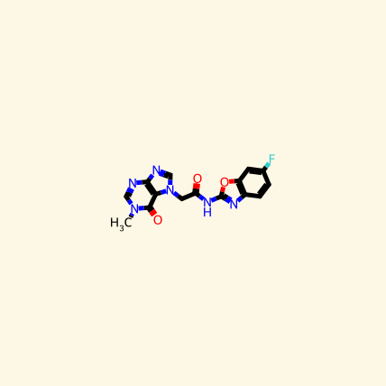 Cn1cnc2ncn(CC(=O)Nc3nc4ccc(F)cc4o3)c2c1=O